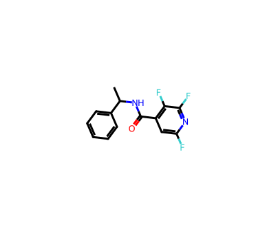 CC(NC(=O)c1cc(F)nc(F)c1F)c1ccccc1